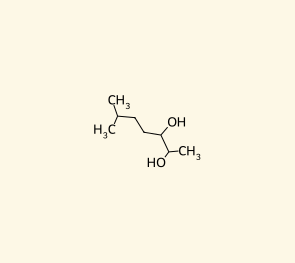 CC(C)CCC(O)C(C)O